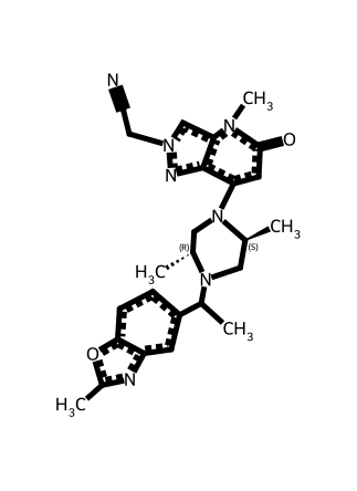 Cc1nc2cc(C(C)N3C[C@H](C)N(c4cc(=O)n(C)c5cn(CC#N)nc45)C[C@H]3C)ccc2o1